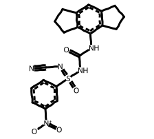 N#CN=S(=O)(NC(=O)Nc1c2c(cc3c1CCC3)CCC2)c1cccc([N+](=O)[O-])c1